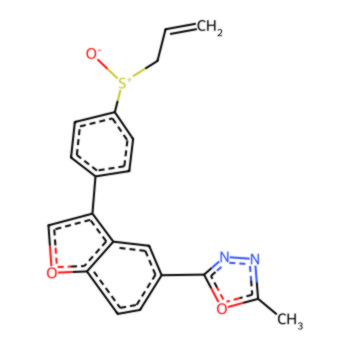 C=CC[S+]([O-])c1ccc(-c2coc3ccc(-c4nnc(C)o4)cc23)cc1